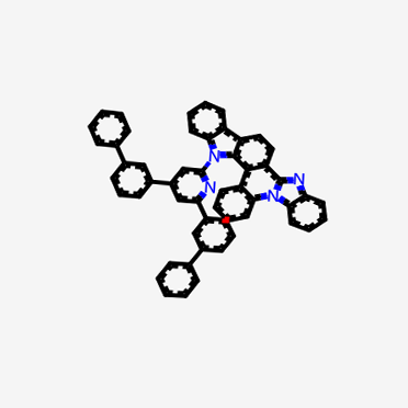 c1ccc(-c2cccc(-c3cc(-c4cccc(-c5ccccc5)c4)nc(-n4c5ccccc5c5ccc6c(c7ccccc7n7c8ccccc8nc67)c54)c3)c2)cc1